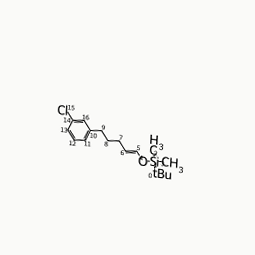 CC(C)(C)[Si](C)(C)OC=CCCCc1cccc(Cl)c1